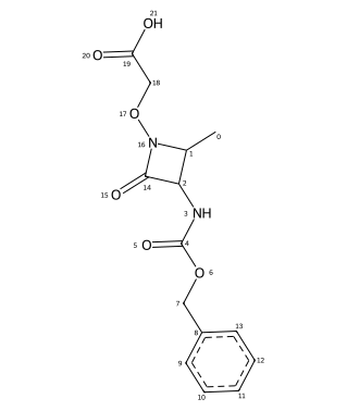 CC1C(NC(=O)OCc2ccccc2)C(=O)N1OCC(=O)O